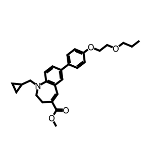 CCCOCCOc1ccc(-c2ccc3c(c2)C=C(C(=O)OC)CCN3CC2CC2)cc1